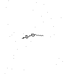 CC#Cc1ccc(C#Cc2ccc(CCCCCCCC)cc2)cc1